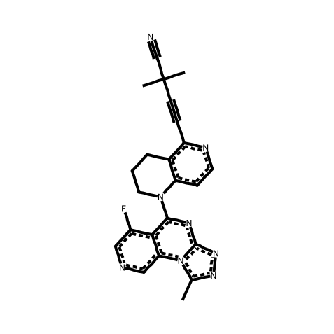 Cc1nnc2nc(N3CCCc4c3ccnc4C#CC(C)(C)C#N)c3c(F)cncc3n12